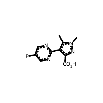 Cc1c(-c2ncc(F)cn2)c(C(=O)O)nn1C